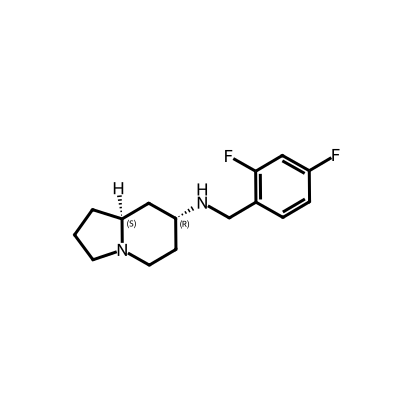 Fc1ccc(CN[C@@H]2CCN3CCC[C@H]3C2)c(F)c1